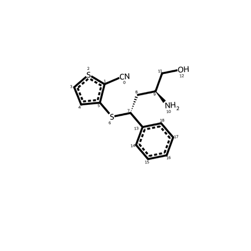 N#Cc1sccc1S[C@H](C[C@H](N)CO)c1ccccc1